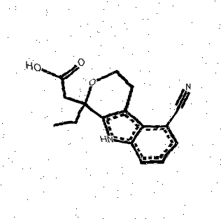 CCC1(CC(=O)O)OCCc2c1[nH]c1cccc(C#N)c21